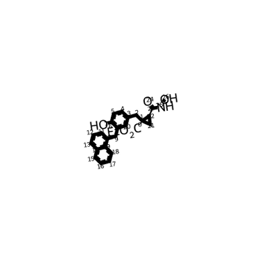 CCOC(=O)[C@@]1(Cc2ccc(O)c(Cc3cccc4ccccc34)c2)C[C@@H]1C(=O)NO